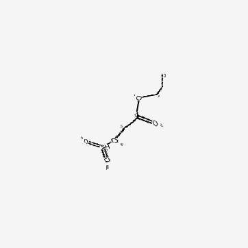 CCOC(=O)CO[SH](=O)=O